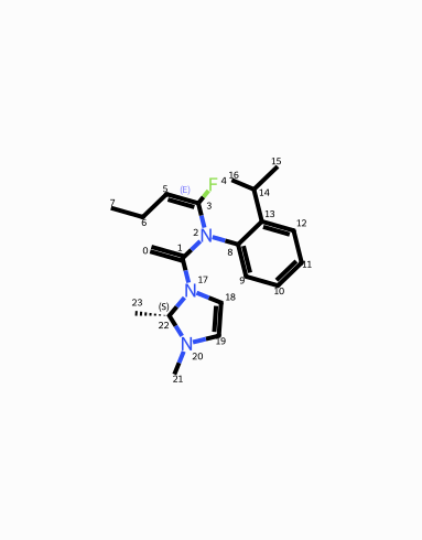 C=C(N(/C(F)=C\CC)c1ccccc1C(C)C)N1C=CN(C)[C@@H]1C